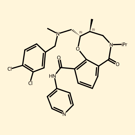 CC(C)N1C[C@H](C)[C@@H](CN(C)Cc2ccc(Cl)c(Cl)c2)Oc2c(C(=O)Nc3ccncc3)cccc2C1=O